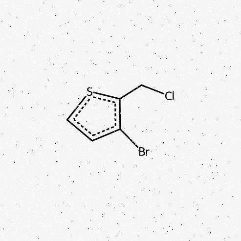 ClCc1sccc1Br